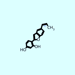 C/C=C\c1ccc2oc(-c3ccc(O)cc3O)cc2c1